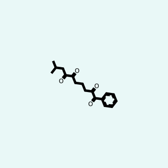 CC(C)CC(=O)C(=O)CCCC(=O)C(=O)c1ccccc1